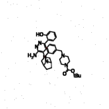 CC(C)(C)OC(=O)N1CCN(Cc2cccc(CN3C4CCC3CN(c3cc(-c5ccccc5O)nnc3N)C4)c2)CC1